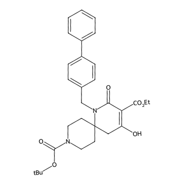 CCOC(=O)C1=C(O)CC2(CCN(C(=O)OC(C)(C)C)CC2)N(Cc2ccc(-c3ccccc3)cc2)C1=O